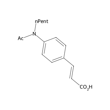 CCCCCN(C(C)=O)c1ccc(C=CC(=O)O)cc1